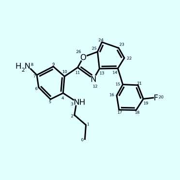 CCCNc1ccc(N)cc1-c1nc2c(-c3cccc(F)c3)cccc2o1